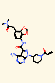 C=CC(=O)N1CCCC(n2nc(C(=O)Nc3ccc(CC(=O)N(C)C)c4c3OCO4)c3c(N)ncnc32)C1